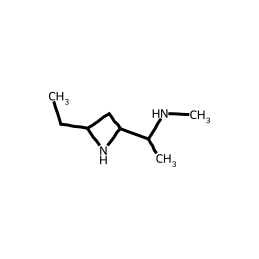 CCC1CC(C(C)NC)N1